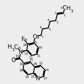 CC=CCCCCCOc1cccc(N(C)C(=O)c2ccc3ncccc3c2)c1F